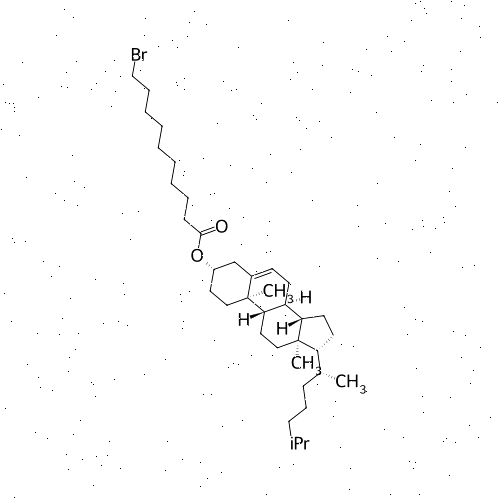 CC(C)CCC[C@@H](C)[C@H]1CC[C@H]2[C@@H]3CC=C4C[C@@H](OC(=O)CCCCCCCCCBr)CC[C@]4(C)[C@H]3CC[C@]12C